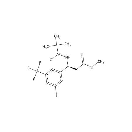 COC(=O)C[C@H](N[S+]([O-])C(C)(C)C)c1cc(I)cc(C(F)(F)F)c1